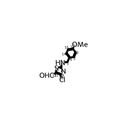 COc1ccc(CNc2nc(Cl)c(C=O)s2)cc1